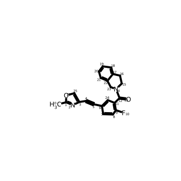 Cc1nc(C#Cc2ccc(F)c(C(=O)N3CCc4ccccc4C3)c2)co1